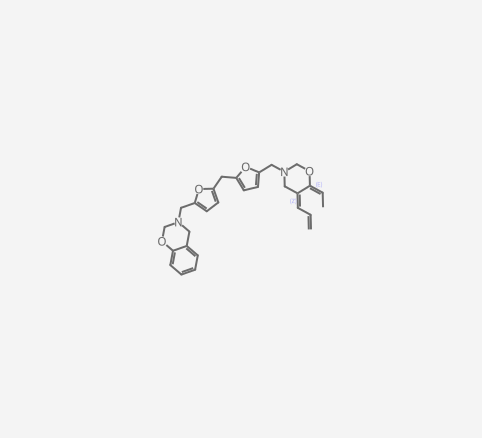 C=C/C=C1/CN(Cc2ccc(Cc3ccc(CN4COc5ccccc5C4)o3)o2)CO/C1=C/C